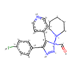 O=C[N+]1(N2CCCCC2)N=NC(c2ccc(F)cc2)=C1c1ccncc1